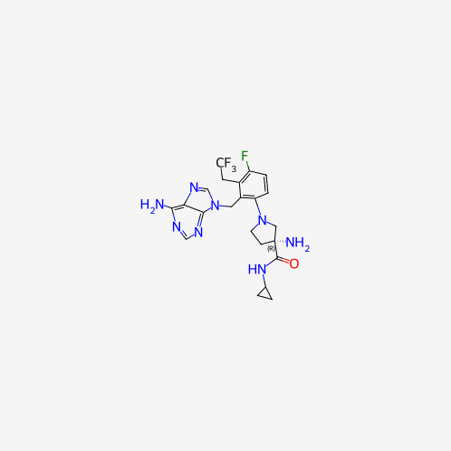 Nc1ncnc2c1ncn2Cc1c(N2CC[C@](N)(C(=O)NC3CC3)C2)ccc(F)c1CC(F)(F)F